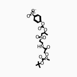 CC(CS(=O)(=O)CCNC(=O)CON(C)C(=O)OC(C)(C)C)OC(=O)Oc1ccc([N+](=O)[O-])cc1